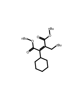 CCCCOC(=O)/C(CC(C)(C)C)=C(\C(=O)OCCCC)C1CCCCC1